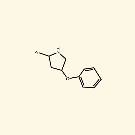 CC(C)C1CC(Oc2ccccc2)CN1